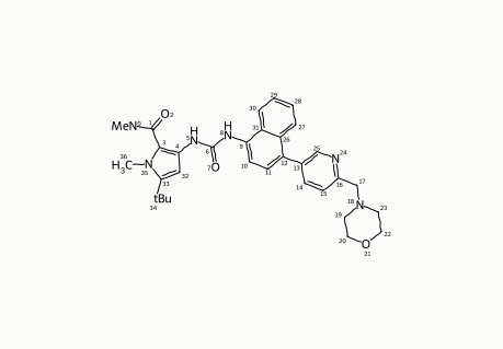 CNC(=O)c1c(NC(=O)Nc2ccc(-c3ccc(CN4CCOCC4)nc3)c3ccccc23)cc(C(C)(C)C)n1C